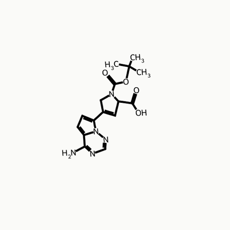 CC(C)(C)OC(=O)N1CC(c2ccc3c(N)ncnn23)=CC1C(=O)O